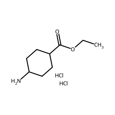 CCOC(=O)C1CCC(N)CC1.Cl.Cl